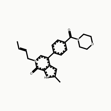 CC=CCn1cc(-c2ccc(C(=O)N3CCOCC3)cc2)c2cc(C)[nH]c2c1=O